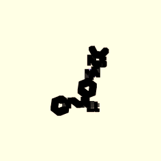 CCN(CC[n+]1ccccc1)c1ccc(/N=N/c2nc(C)c(C)s2)cc1